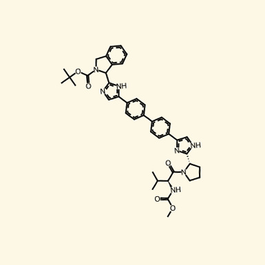 COC(=O)N[C@H](C(=O)N1CCC[C@H]1c1nc(-c2ccc(-c3ccc(-c4cnc(C5c6ccccc6CN5C(=O)OC(C)(C)C)[nH]4)cc3)cc2)c[nH]1)C(C)C